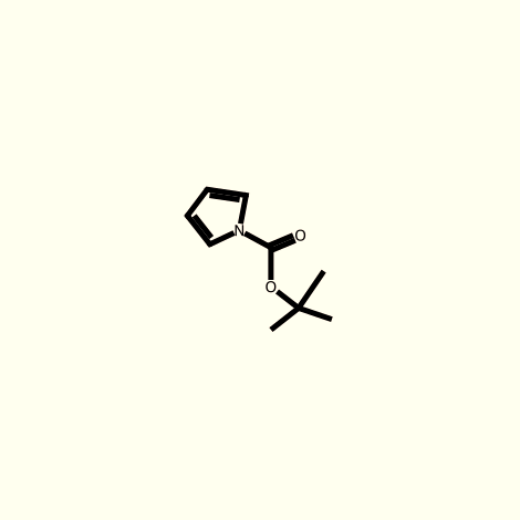 CC(C)(C)OC(=O)n1cccc1